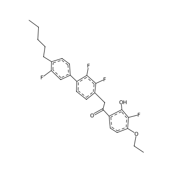 CCCCCc1ccc(-c2ccc(CC(=O)c3ccc(OCC)c(F)c3O)c(F)c2F)cc1F